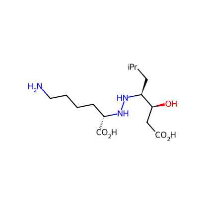 CC(C)C[C@H](NN[C@@H](CCCCN)C(=O)O)[C@@H](O)CC(=O)O